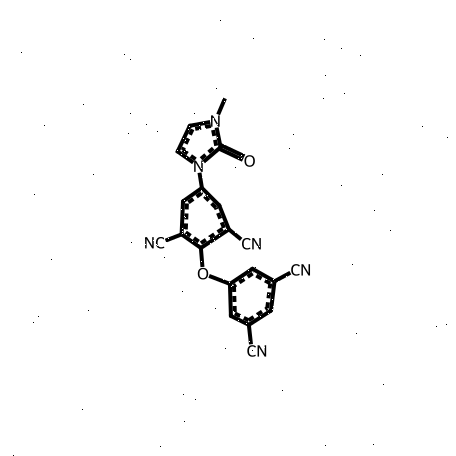 Cn1ccn(-c2cc(C#N)c(Oc3cc(C#N)cc(C#N)c3)c(C#N)c2)c1=O